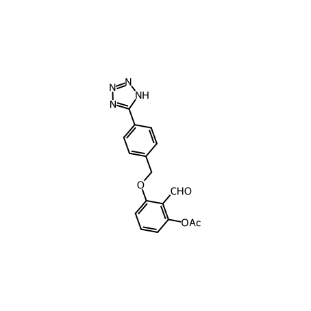 CC(=O)Oc1cccc(OCc2ccc(-c3nnn[nH]3)cc2)c1C=O